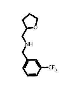 FC(F)(F)c1cccc(CNCC2CCCO2)c1